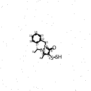 CCn1c(C)c(SS)c(=O)n1Cc1ccccc1